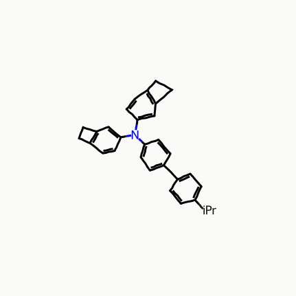 CC(C)c1ccc(-c2ccc(N(c3ccc4c(c3)CC4)c3ccc4c(c3)CC4)cc2)cc1